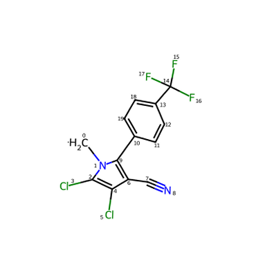 [CH2]n1c(Cl)c(Cl)c(C#N)c1-c1ccc(C(F)(F)F)cc1